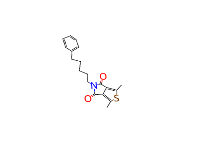 Cc1sc(C)c2c1C(=O)N(CCCCCc1ccccc1)C2=O